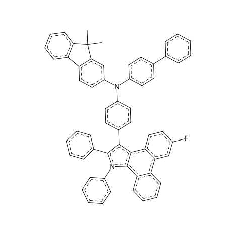 CC1(C)c2ccccc2-c2ccc(N(c3ccc(-c4ccccc4)cc3)c3ccc(-c4c(-c5ccccc5)n(-c5ccccc5)c5c6ccccc6c6cc(F)ccc6c45)cc3)cc21